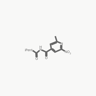 CCCC(C)C(=O)NC(=O)c1cc(C)nc([N+](=O)[O-])c1